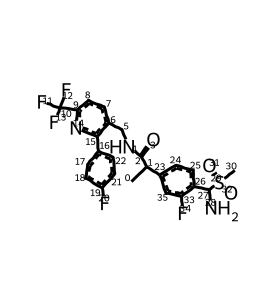 CC(C(=O)NCc1ccc(C(F)(F)F)nc1-c1ccc(F)cc1)c1ccc(C(N)S(C)(=O)=O)c(F)c1